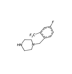 Fc1ccc(CN2CCNCC2)c(C(F)(F)F)c1